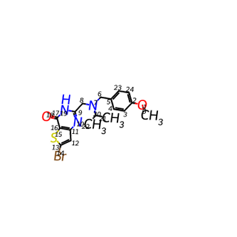 COc1ccc(CN(Cc2nc3cc(Br)sc3c(=O)[nH]2)C(C)C)cc1